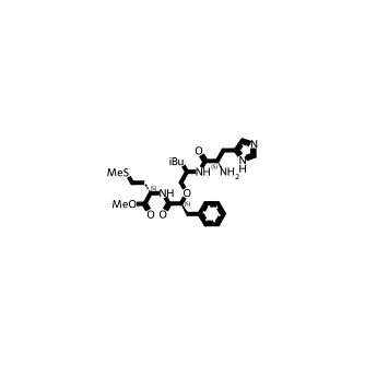 CCC(C)C(CO[C@@H](Cc1ccccc1)C(=O)N[C@@H](CCSC)C(=O)OC)NC(=O)[C@@H](N)Cc1cnc[nH]1